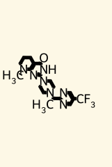 CC(c1ncc(C(F)(F)F)cn1)N1CCN(c2nc3c(c(=O)[nH]2)CCCN3C)CC1